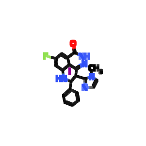 Cn1ccnc1C1C2=NNC(=O)C3=CC(F)=CC(NC1c1ccccc1)C32I